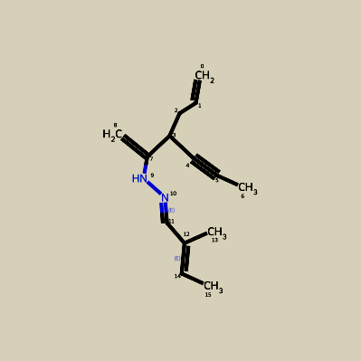 C=CCC(C#CC)C(=C)N/N=C/C(C)=C/C